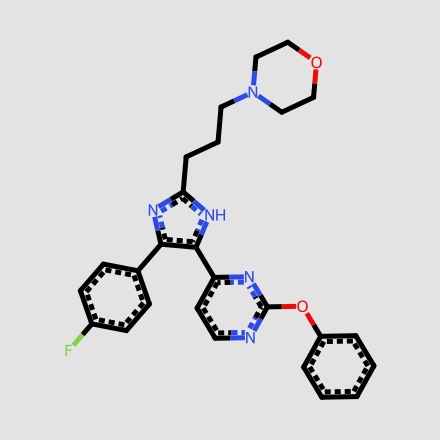 Fc1ccc(-c2nc(CCCN3CCOCC3)[nH]c2-c2ccnc(Oc3ccccc3)n2)cc1